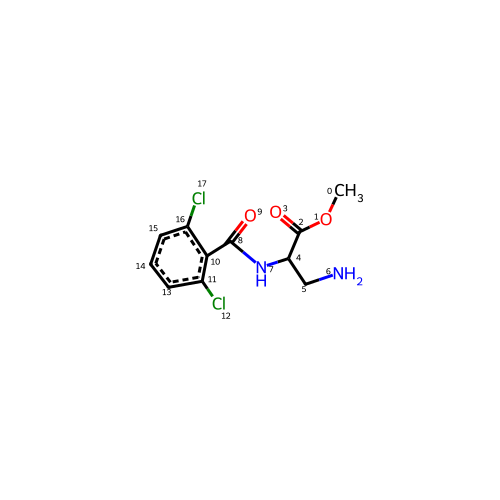 COC(=O)C(CN)NC(=O)c1c(Cl)cccc1Cl